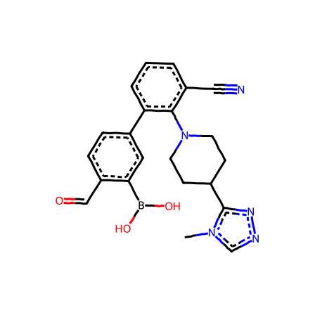 Cn1cnnc1C1CCN(c2c(C#N)cccc2-c2ccc(C=O)c(B(O)O)c2)CC1